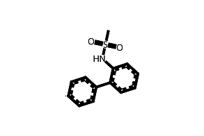 CS(=O)(=O)Nc1ccccc1-c1cc[c]cc1